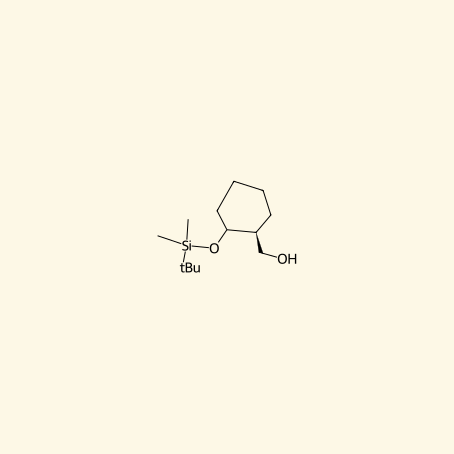 CC(C)(C)[Si](C)(C)OC1CCCC[C@H]1CO